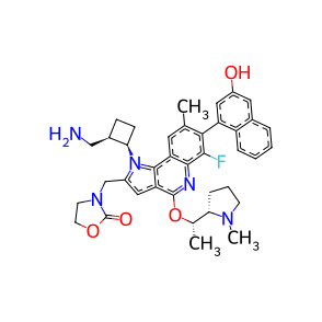 Cc1cc2c(nc(O[C@@H](C)[C@@H]3CCCN3C)c3cc(CN4CCOC4=O)n([C@@H]4CC[C@@H]4CN)c32)c(F)c1-c1cc(O)cc2ccccc12